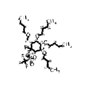 CCCCOC[C@@H]1[C@@H](OCCCC)[C@H](OCCCC)[C@@H](OCCCC)[C@H](OS(=O)(=O)C(F)(F)F)C1(F)F